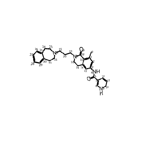 Cc1cc(NC(=O)C2=CNCC=C2)cc2c1C(=O)N(CCCN1CCc3ccccc3CC1)CC2